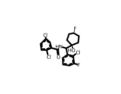 O=C(NC(c1cccc(F)c1Cl)[C@]1(O)CC[C@H](F)CC1)c1cc(Cl)ccc1Cl